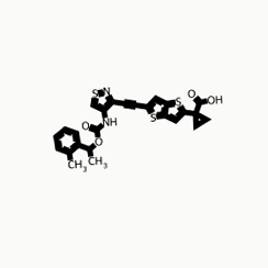 Cc1ccccc1C(C)OC(=O)Nc1csnc1C#Cc1cc2sc(C3(C(=O)O)CC3)cc2s1